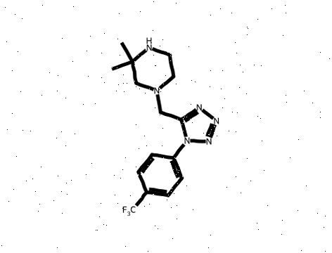 CC1(C)CN(Cc2nnnn2-c2ccc(C(F)(F)F)cc2)CCN1